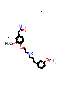 COc1cccc(CCCNCCOc2ccc(CC(N)=O)cc2OC)c1